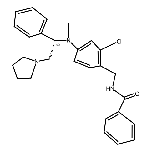 CN(c1ccc(CNC(=O)c2ccccc2)c(Cl)c1)[C@H](CN1CCCC1)c1ccccc1